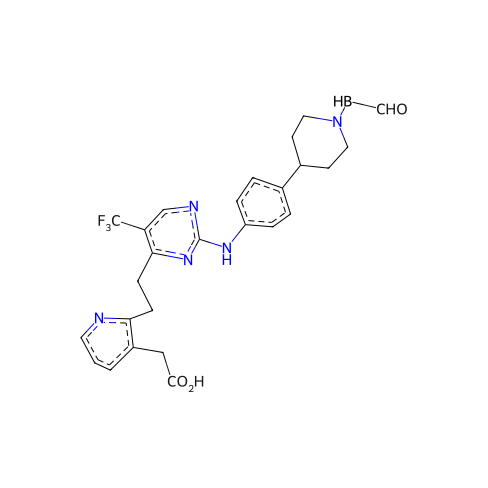 O=CBN1CCC(c2ccc(Nc3ncc(C(F)(F)F)c(CCc4ncccc4CC(=O)O)n3)cc2)CC1